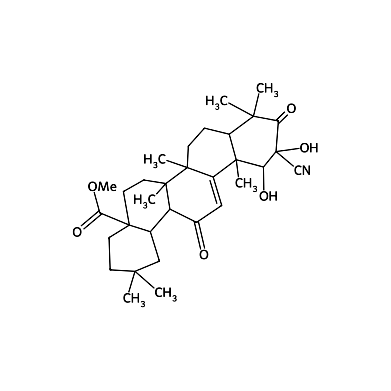 COC(=O)C12CCC(C)(C)CC1C1C(=O)C=C3C4(C)C(CCC3(C)C1(C)CC2)C(C)(C)C(=O)C(O)(C#N)C4O